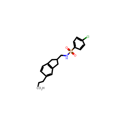 O=C(O)CCc1ccc2c(c1)CC(CNS(=O)(=O)c1ccc(Cl)cc1)C2